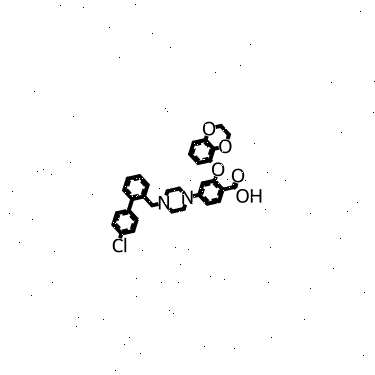 O=C(O)c1ccc(N2CCN(Cc3ccccc3-c3ccc(Cl)cc3)CC2)cc1Oc1cccc2c1OCCO2